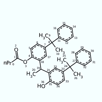 CCCC(=O)Oc1ccc(C(C)(C)c2ccccc2)cc1C(C)c1cc(C(C)(C)c2ccccc2)ccc1O